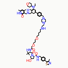 CCN(C1=C(C)C(CNCc2c(C)cc(C)[nH]c2=O)CC(c2ccc(CN3CCN(CCNCCCCCOCCCOCC(=O)N[C@H](C(=O)N4C[C@H](O)C[C@H]4C(=O)NCc4ccc(-c5scnc5C)cc4)C(C)(C)C)CC3)cc2)=C1)C1CCOCC1